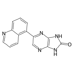 O=c1[nH]c2ncc(-c3cccc4ncccc34)nc2[nH]1